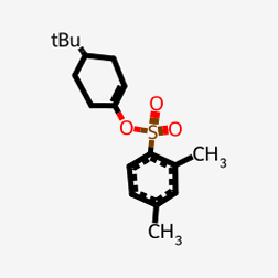 Cc1ccc(S(=O)(=O)OC2=CCC(C(C)(C)C)CC2)c(C)c1